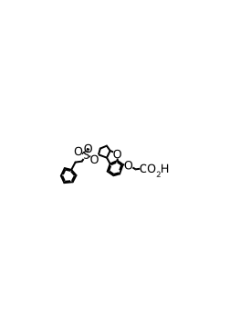 O=C(O)COc1cccc2c1OC1CCC(OS(=O)(=O)CCc3ccccc3)C21